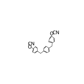 N#COc1ccc(Cc2ccc(Cc3ccc(OC#N)cc3)cc2)cc1